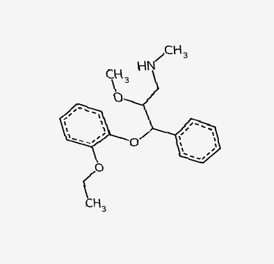 CCOc1ccccc1OC(c1ccccc1)C(CNC)OC